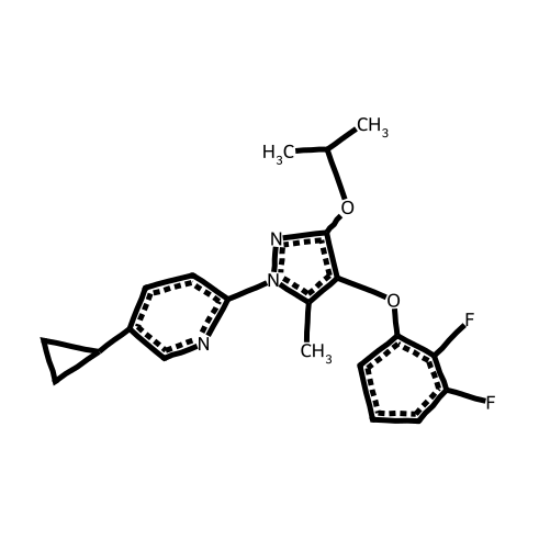 Cc1c(Oc2cccc(F)c2F)c(OC(C)C)nn1-c1ccc(C2CC2)cn1